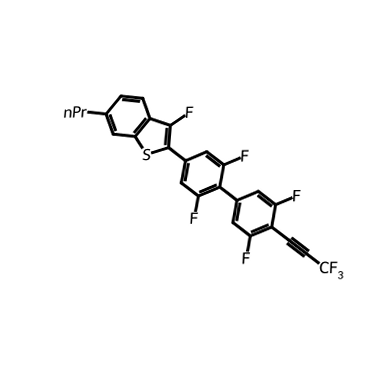 CCCc1ccc2c(F)c(-c3cc(F)c(-c4cc(F)c(C#CC(F)(F)F)c(F)c4)c(F)c3)sc2c1